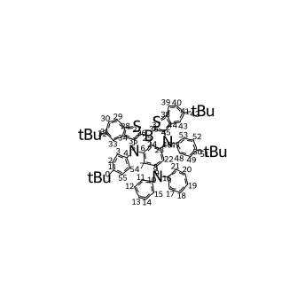 CC(C)(C)c1ccc(N2c3cc(N(c4ccccc4)c4ccccc4)cc4c3B(c3sc5ccc(C(C)(C)C)cc5c32)c2sc3ccc(C(C)(C)C)cc3c2N4c2ccc(C(C)(C)C)cc2)cc1